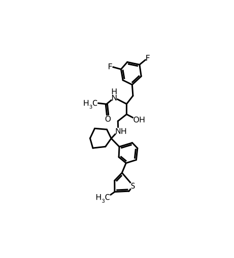 CC(=O)NC(Cc1cc(F)cc(F)c1)C(O)CNC1(c2cccc(-c3cc(C)cs3)c2)CCCCC1